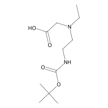 CCN(CCNC(=O)OC(C)(C)C)CC(=O)O